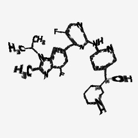 Cc1nc2c(F)cc(-c3nc(Nc4ccc([C@H](O)[C@@H]5CCCNC5)cn4)ncc3F)cc2n1C(C)C